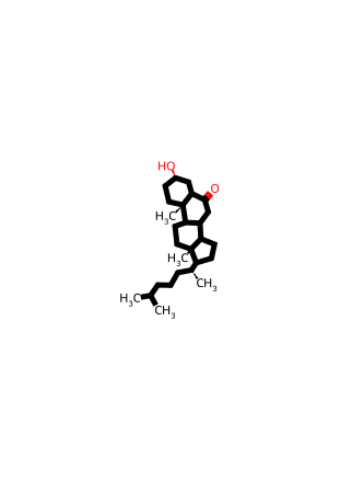 CC(C)CCC[C@@H](C)C1CCC2C3CC(=O)C4C[C@@H](O)CC[C@]4(C)C3CC[C@@]21C